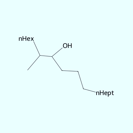 CCCCCCCCCCC(O)C(C)CCCCCC